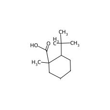 CC(C)(C)C1CC[CH]CC1(C)C(=O)O